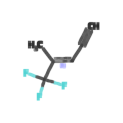 C#C/C=C(\C)C(F)(F)F